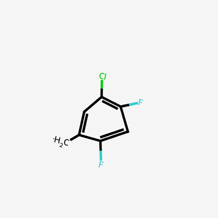 [CH2]c1cc(Cl)c(F)cc1F